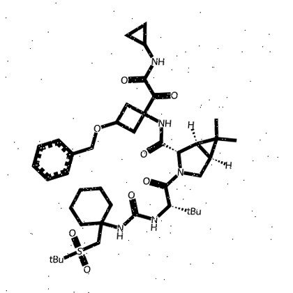 CC(C)(C)[C@H](NC(=O)NC1(CS(=O)(=O)C(C)(C)C)CCCCC1)C(=O)N1C[C@H]2[C@@H]([C@H]1C(=O)NC1(C(=O)C(=O)NC3CC3)CC(OCc3ccccc3)C1)C2(C)C